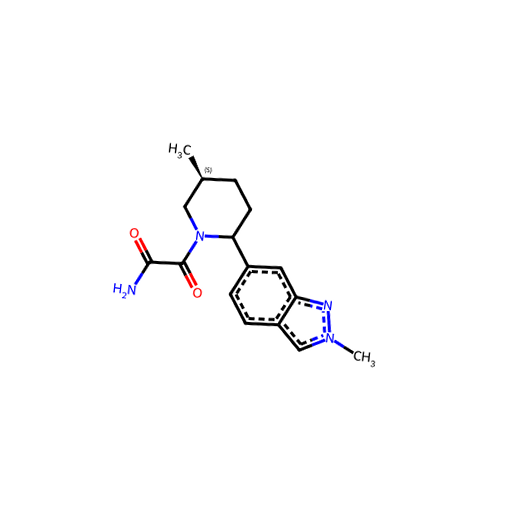 C[C@H]1CCC(c2ccc3cn(C)nc3c2)N(C(=O)C(N)=O)C1